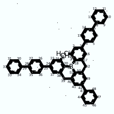 Cc1cc(-c2ccc(-c3ccccc3)cc2)cc2c1B1c3c(C)cc(-c4ccc(-c5ccccc5)cc4)cc3Cc3cc(-c4ccccc4)cc(c31)C2